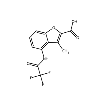 Cc1c(C(=O)O)oc2cccc(NC(=O)C(F)(F)F)c12